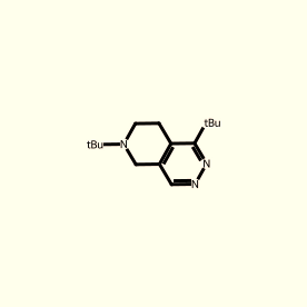 CC(C)(C)c1nncc2c1CCN(C(C)(C)C)C2